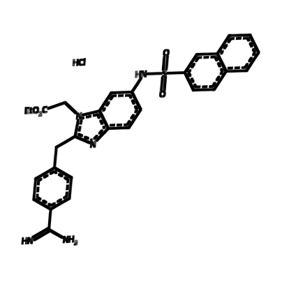 CCOC(=O)Cn1c(Cc2ccc(C(=N)N)cc2)nc2ccc(NS(=O)(=O)c3ccc4ccccc4c3)cc21.Cl